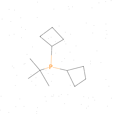 CC(C)(C)P(C1CCC1)C1CCC1